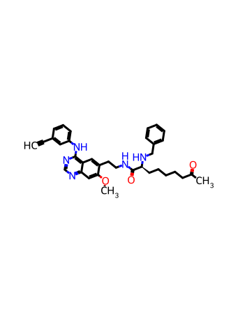 C#Cc1cccc(Nc2ncnc3cc(OC)c(CCNC(=O)[C@H](CCCCCC(C)=O)NCc4ccccc4)cc23)c1